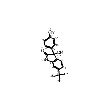 O=C1Nc2cc(C(F)(F)F)ccc2C1(O)c1ccc(O)cc1